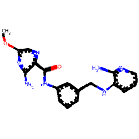 COc1cnc(C(=O)Nc2cccc(CNc3cccnc3N)c2)c(N)n1